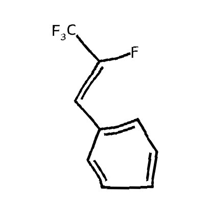 FC(=Cc1ccccc1)C(F)(F)F